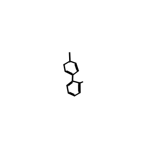 C[C]1C=CC(c2ccccc2C)=CC1